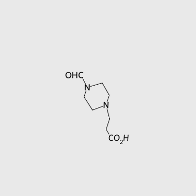 O=CN1CCN(CCC(=O)O)CC1